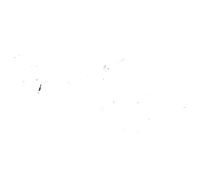 CC(C)Nc1cc(-c2cnn3cc(F)cnc23)ncc1C(=O)NC[C@@H](F)C(C)(C)O